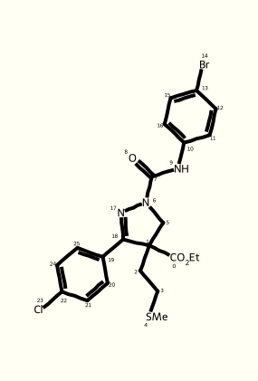 CCOC(=O)C1(CCSC)CN(C(=O)Nc2ccc(Br)cc2)N=C1c1ccc(Cl)cc1